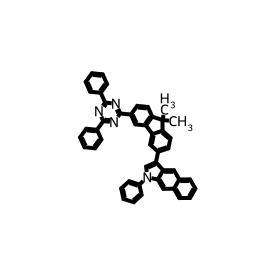 CC1(C)c2ccc(-c3nc(-c4ccccc4)nc(-c4ccccc4)n3)cc2-c2cc(-c3cn(-c4ccccc4)c4cc5ccccc5cc34)ccc21